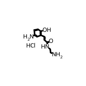 Cl.NCCNC(=O)C=Cc1cc(N)ccc1O